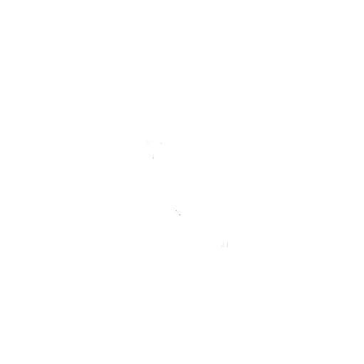 CC(C)S(=O)(=O)NCCCCC(=O)Nc1ccc(S)cc1